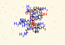 CC(C)C[C@H](NC(=O)[C@H](CCCCN)NC(=O)[C@H](CCCNC(=N)N)NC(=O)[C@H](Cc1ccc(O)cc1)NC(=O)[C@H](CCC(N)=O)NC(=O)[C@@H](C)CCC(N)=O)C(=O)N[C@@H](C)C(N)=O